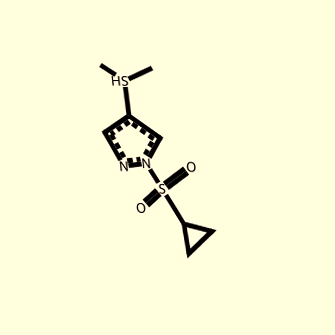 C[SH](C)c1cnn(S(=O)(=O)C2CC2)c1